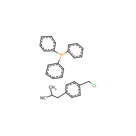 CC(C#N)Cc1ccc(CCl)cc1.c1ccc(P(c2ccccc2)c2ccccc2)cc1